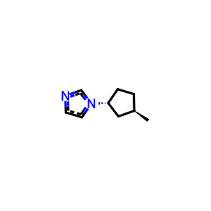 C[C@@H]1CC[C@@H](n2ccnc2)C1